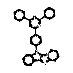 c1ccc(-c2cc(-c3ccc(-n4c5ccccc5c5nc6ccccn6c54)cc3)nc(-c3ccccc3)n2)cc1